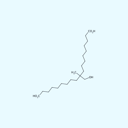 CC(CO)(CCCCCCCCC(=O)O)CCCCCCCCC(=O)O